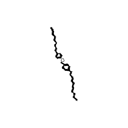 CCCCCCCC=Cc1ccc(OCc2ccc(CCCCCCCCCCC)cc2)cc1